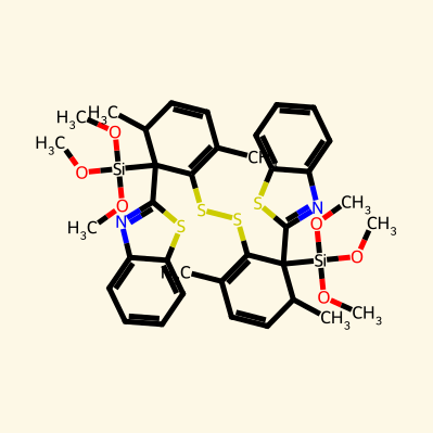 CO[Si](OC)(OC)C1(c2nc3ccccc3s2)C(SSC2=C(C)C=CC(C)C2(c2nc3ccccc3s2)[Si](OC)(OC)OC)=C(C)C=CC1C